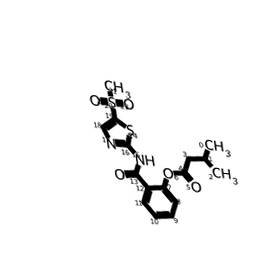 CC(C)CC(=O)Oc1ccccc1C(=O)Nc1ncc(S(C)(=O)=O)s1